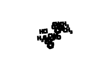 COc1cc(C(=O)OCC(c2ccccc2)C(C)N(C)C)cc(OC)c1OC.Cl